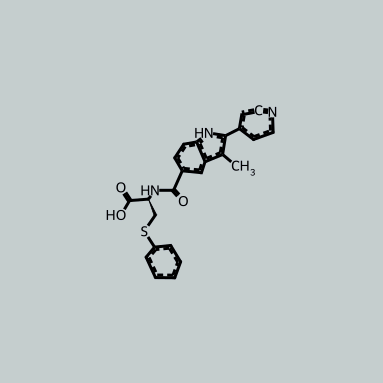 Cc1c(-c2ccncc2)[nH]c2ccc(C(=O)N[C@@H](CSc3ccccc3)C(=O)O)cc12